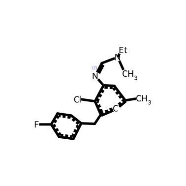 CCN(C)/C=N\c1cc(C)cc(Cc2ccc(F)cc2)c1Cl